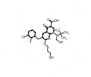 CC(C)(C)[C@@H](CO)n1cc(C(=O)O)c(=O)c2cc(Cc3cccc(Cl)c3F)c(OCCCO)nc21